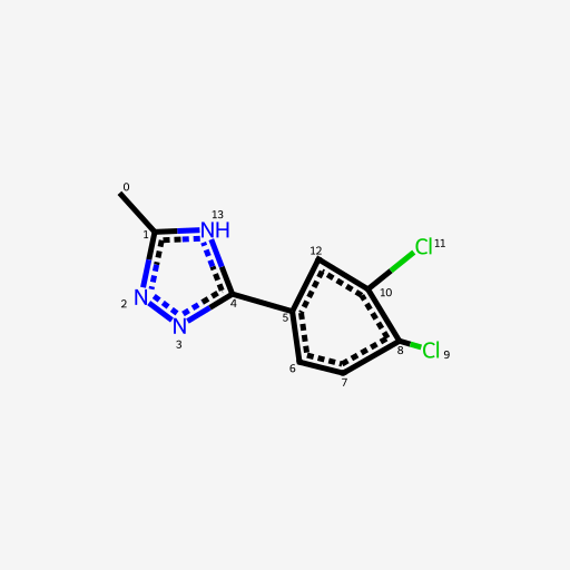 Cc1nnc(-c2ccc(Cl)c(Cl)c2)[nH]1